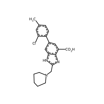 Cc1ccc(-c2cc(C(=O)O)c3nc(CN4CCCCC4)[nH]c3c2)c(Cl)c1